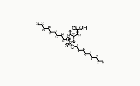 CCCCCCCCCOP(=S)(OCCCCCCCCC)SC(CC)CC(=O)O